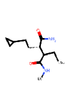 CCNC(=O)C(CC(C)(C)C)[C@H](CCC1CC1)C(N)=O